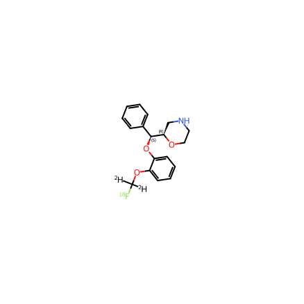 [2H]C([2H])([18F])Oc1ccccc1O[C@@H](c1ccccc1)[C@H]1CNCCO1